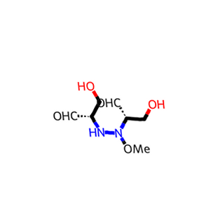 CON(N[C@H](C=O)CO)[C@H](C=O)CO